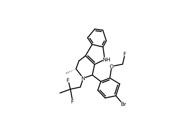 C[C@@H]1Cc2c([nH]c3ccccc23)C(c2ccc(Br)cc2OCF)N1CC(C)(F)F